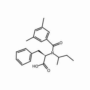 CCC(C)N(C(=O)c1cc(C)cc(C)c1)[C@H](Cc1ccccc1)C(=O)O